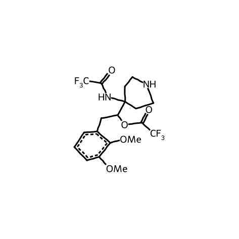 COc1cccc(CC(OC(=O)C(F)(F)F)C2(NC(=O)C(F)(F)F)CCNCC2)c1OC